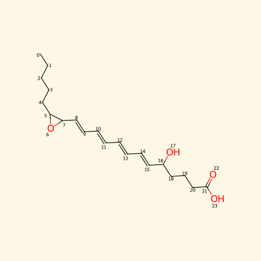 CCCCCC1OC1C=CC=CC=CC=CC(O)CCCC(=O)O